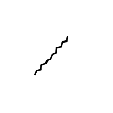 CC=CCCCCCC=CCCCC